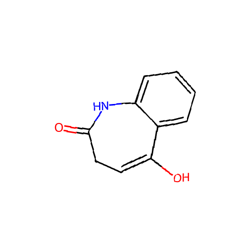 O=C1CC=C(O)c2ccccc2N1